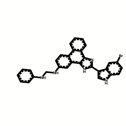 Brc1ccc2[nH]cc(-c3nc4c5ccccc5c5ccc(NCNc6ccccc6)cc5c4[nH]3)c2c1